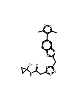 Cc1noc(C)c1-c1ccc2nc(Cc3nnc(CC(=O)NC4(C#N)CC4)o3)sc2c1